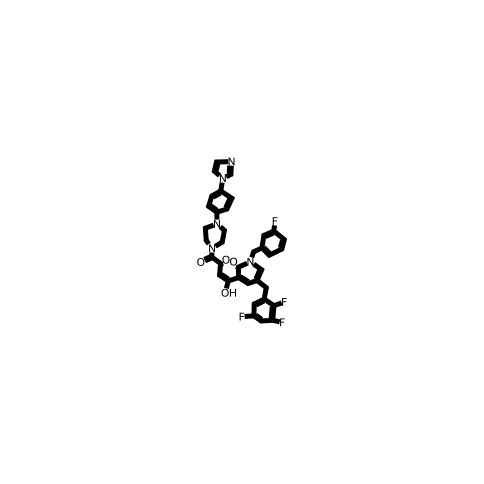 O=C(/C=C(/O)c1cc(Cc2cc(F)cc(F)c2F)cn(Cc2cccc(F)c2)c1=O)C(=O)N1CCN(c2ccc(-n3ccnc3)cc2)CC1